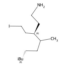 CC[C@@H](C)CCC(C)[C@H](CCN)CCI